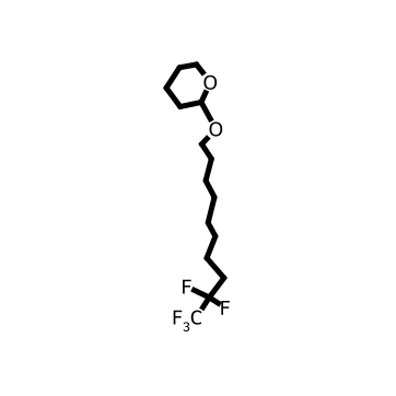 FC(F)(F)C(F)(F)CCCCCCCCOC1CCCCO1